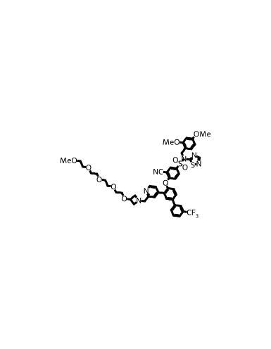 COCCOCCOCCOCCOC1CN(Cc2cc(-c3cc(-c4cccc(C(F)(F)F)c4)ccc3Oc3ccc(S(=O)(=O)N(Cc4ccc(OC)cc4OC)c4ncns4)cc3C#N)ccn2)C1